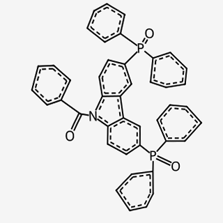 O=C(c1ccccc1)n1c2ccc(P(=O)(c3ccccc3)c3ccccc3)cc2c2cc(P(=O)(c3ccccc3)c3ccccc3)ccc21